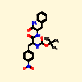 CC(C)(C)OC(=O)NC(Cc1ccc([N+](=O)[O-])cc1)C(=O)NC(Cc1ccccc1)C(N)=O